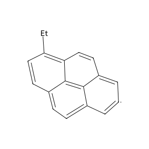 CCc1ccc2ccc3c[c]cc4ccc1c2c34